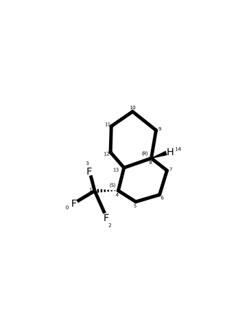 FC(F)(F)[C@H]1CCC[C@H]2CCCCC21